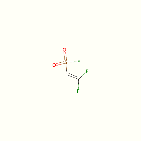 O=S(=O)(F)C=C(F)F